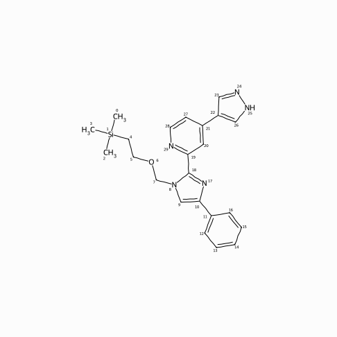 C[Si](C)(C)CCOCn1cc(-c2ccccc2)nc1-c1cc(-c2cn[nH]c2)ccn1